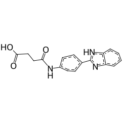 O=C(O)CCC(=O)Nc1ccc(-c2nc3ccccc3[nH]2)cc1